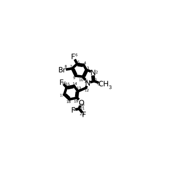 Cc1nc2cc(F)c(Br)cc2n1Cc1cc(F)ccc1OC(F)F